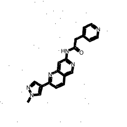 Cn1cc(-c2ccc3cnc(NC(=O)Cc4ccncc4)cc3n2)cn1